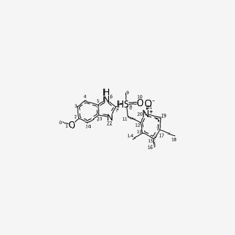 COc1ccc2[nH]c([SH](C)(=O)Cc3c(C)c(C)c(C)c[n+]3[O-])nc2c1